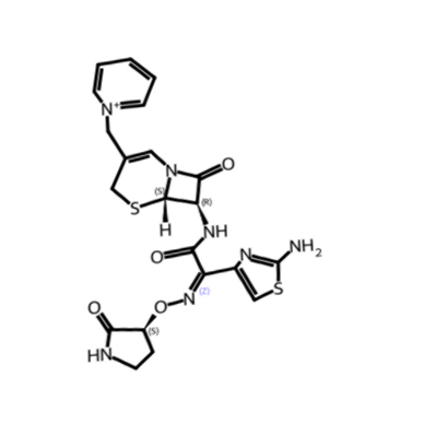 Nc1nc(/C(=N/O[C@H]2CCNC2=O)C(=O)N[C@@H]2C(=O)N3C=C(C[n+]4ccccc4)CS[C@@H]23)cs1